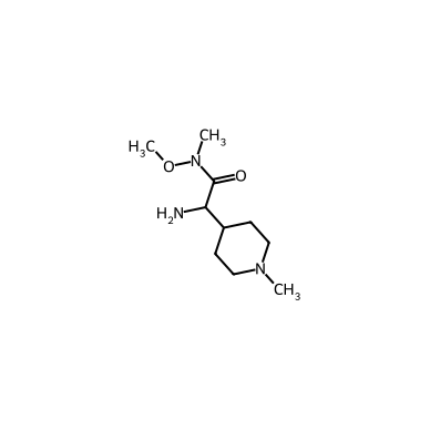 CON(C)C(=O)C(N)C1CCN(C)CC1